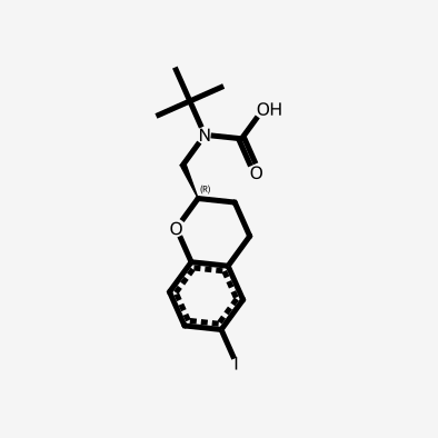 CC(C)(C)N(C[C@H]1CCc2cc(I)ccc2O1)C(=O)O